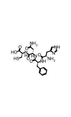 NC(=O)C[C@H](NC(=O)[C@H](Cc1ccccc1)NC(=O)[C@@H](N)Cc1c[nH]cn1)C(=O)N[C@@H](CS)C(=O)O